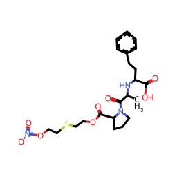 CC(NC(CCc1ccccc1)C(=O)O)C(=O)N1CCCC1C(=O)OCCSCCO[N+](=O)[O-]